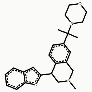 CN1Cc2cc(C(C)(C)N3CCOCC3)ccc2C(c2cc3ccccc3o2)C1